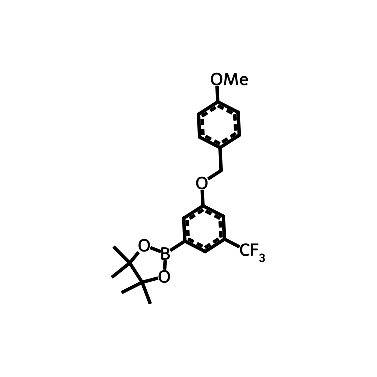 COc1ccc(COc2cc(B3OC(C)(C)C(C)(C)O3)cc(C(F)(F)F)c2)cc1